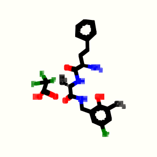 Cc1cc(Br)cc(CNC(=O)[C@H](C)NC(=O)[C@H](N)CCc2ccccc2)c1O.O=C(O)C(F)(F)F